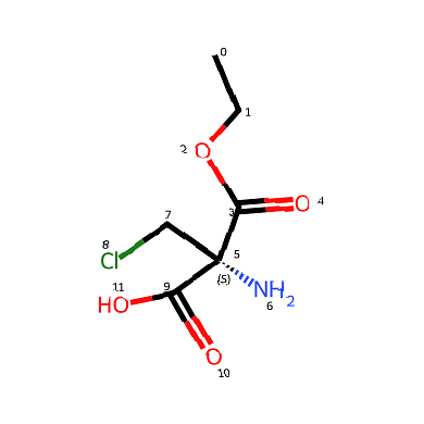 CCOC(=O)[C@](N)(CCl)C(=O)O